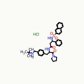 CC(C)(C)NCc1ccc(CC(NC(=O)CC(NS(=O)(=O)c2ccc3ccccc3c2)c2ccccc2)C(=O)N2CCCC2)cc1.Cl